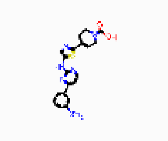 Nc1cccc(-c2ccnc(Nc3cnc(C4=CCN(C(=O)O)CC4)s3)n2)c1